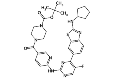 CC(C)(C)OC(=O)N1CCN(C(=O)c2ccc(Nc3ncc(F)c(-c4ccc5nc(NC6CCCC6)sc5c4)n3)nc2)CC1